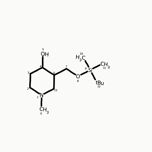 CN1CCC(O)C(CO[Si](C)(C)C(C)(C)C)C1